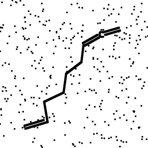 C=C=CCCCCC=C